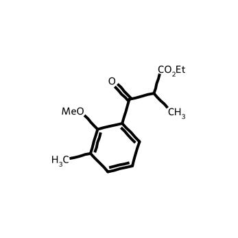 CCOC(=O)C(C)C(=O)c1cccc(C)c1OC